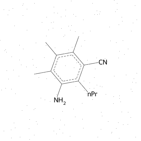 CCCc1c(N)c(C)c(C)c(C)c1C#N